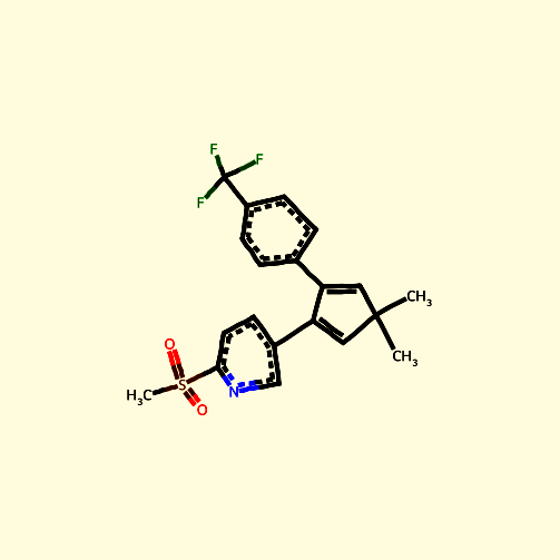 CC1(C)C=C(c2ccc(C(F)(F)F)cc2)C(c2ccc(S(C)(=O)=O)nc2)=C1